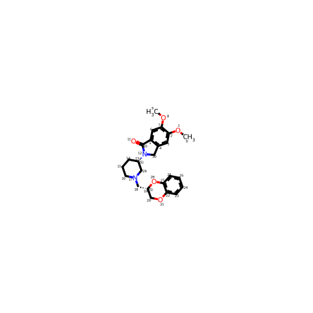 COc1cc2c(cc1OC)C(=O)N([C@H]1CCCN(C[C@H]3COc4ccccc4O3)C1)C2